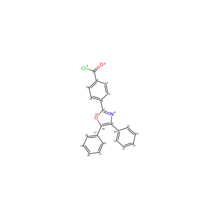 O=C(Cl)c1ccc(-c2nc(-c3ccccc3)c(-c3ccccc3)o2)cc1